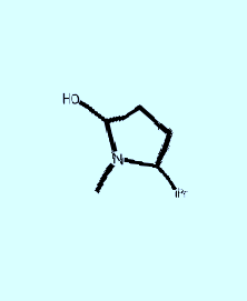 CC(C)C1CCC(O)N1C